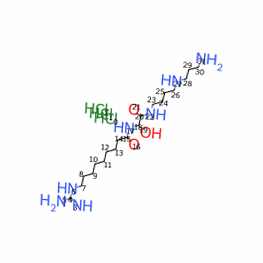 Cl.Cl.Cl.N=C(N)NCCCCCCCCC(=O)NC(O)C(=O)NCCCCNCCCN